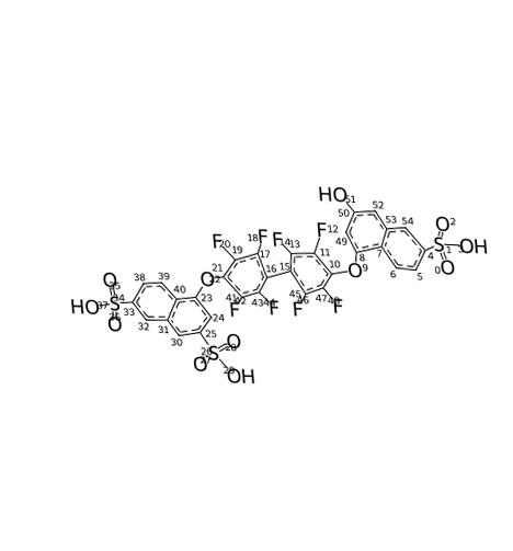 O=S(=O)(O)c1ccc2c(Oc3c(F)c(F)c(-c4c(F)c(F)c(Oc5cc(S(=O)(=O)O)cc6cc(S(=O)(=O)O)ccc56)c(F)c4F)c(F)c3F)cc(O)cc2c1